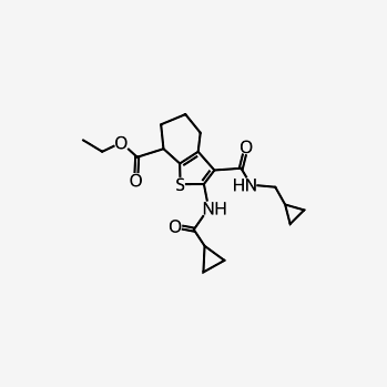 CCOC(=O)C1CCCc2c1sc(NC(=O)C1CC1)c2C(=O)NCC1CC1